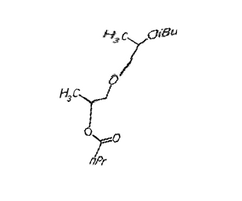 CCCC(=O)OC(C)COCC(C)OCC(C)C